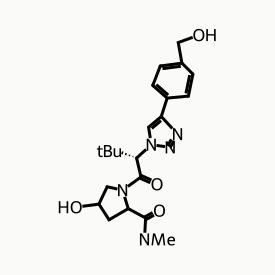 CNC(=O)C1CC(O)CN1C(=O)[C@@H](n1cc(-c2ccc(CO)cc2)nn1)C(C)(C)C